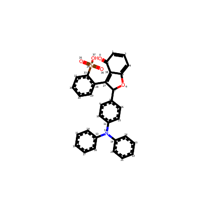 O=C1C=CC=C2OC(c3ccc(N(c4ccccc4)c4ccccc4)cc3)C(c3ccccc3S(=O)(=O)O)=C12